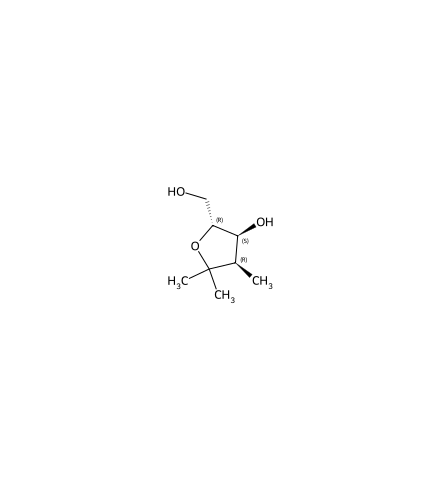 C[C@@H]1[C@H](O)[C@@H](CO)OC1(C)C